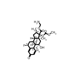 COC(=O)O[C@]1(C(=O)OCN)[C@H](C)C[C@H]2[C@@H]3C[C@H](F)C4=CC(=O)C=C[C@]4(C)[C@@]3(F)[C@@H](O)C[C@@]21C